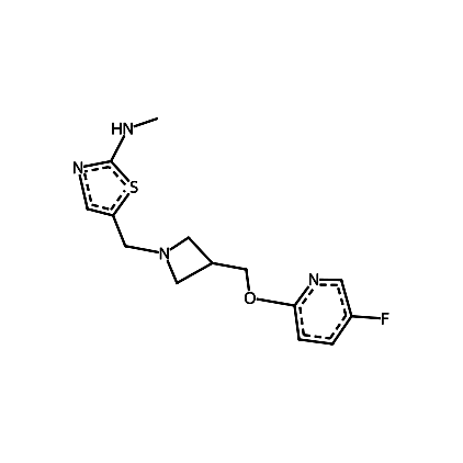 CNc1ncc(CN2CC(COc3ccc(F)cn3)C2)s1